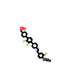 COc1ccc(/C=C/C2CCC(c3ccc(C4CCC(CO)CC4)c(F)c3F)CC2)cc1F